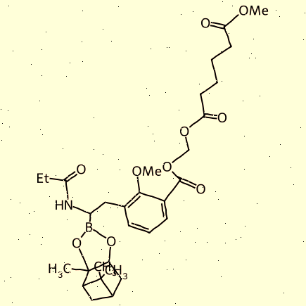 CCC(=O)NC(Cc1cccc(C(=O)OCOC(=O)CCCCC(=O)OC)c1OC)B1OC2CC3CC(C3(C)C)C2(C)O1